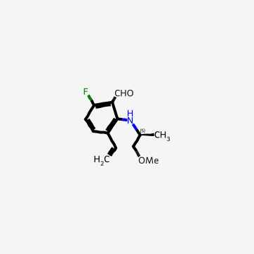 C=Cc1ccc(F)c(C=O)c1N[C@@H](C)COC